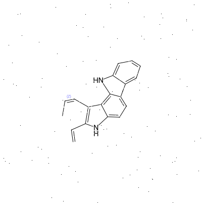 C=Cc1[nH]c2ccc3c4ccccc4[nH]c3c2c1/C=C\C